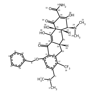 CN(C)Cc1cc(OCc2ccccc2)c2c(c1C(F)(F)F)C[C@H]1C[C@H]3[C@H](N(C)C)C(O)=C(C(N)=O)C(=O)[C@@]3(O)C(O)=C1C2=O